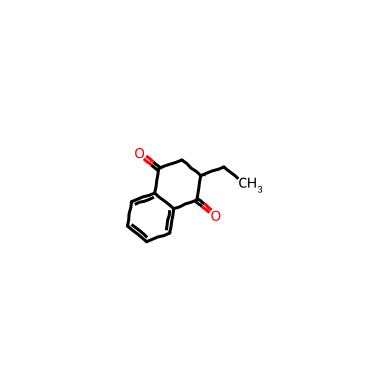 CC[C]1CC(=O)c2ccccc2C1=O